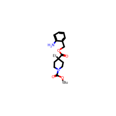 CCC1(C(=O)OCc2ccccc2N)CCN(C(=O)OC(C)(C)C)CC1